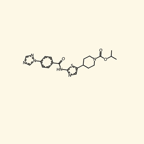 CC(C)OC(=O)N1CCC(c2cnc(NC(=O)c3ccc(-n4cncn4)cc3)s2)CC1